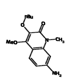 CCCCOc1c(OC)c2ccc(N)cc2n(C)c1=O